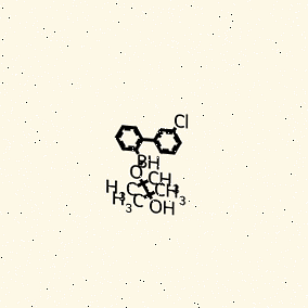 CC(C)(O)C(C)(C)OBc1ccccc1-c1cccc(Cl)c1